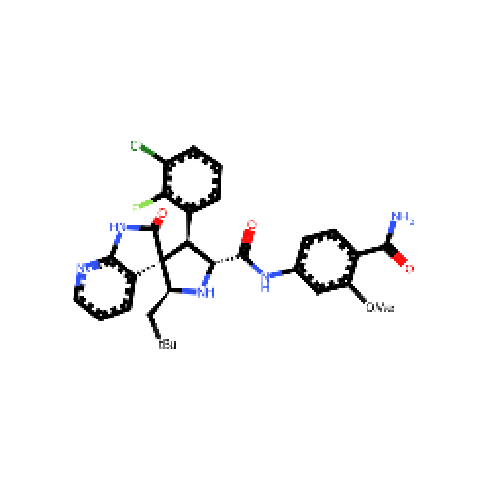 COc1cc(NC(=O)[C@@H]2N[C@@H](CC(C)(C)C)[C@@]3(C(=O)Nc4ncccc43)[C@H]2c2cccc(Cl)c2F)ccc1C(N)=O